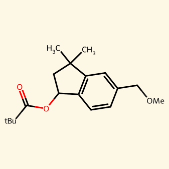 COCc1ccc2c(c1)C(C)(C)CC2OC(=O)C(C)(C)C